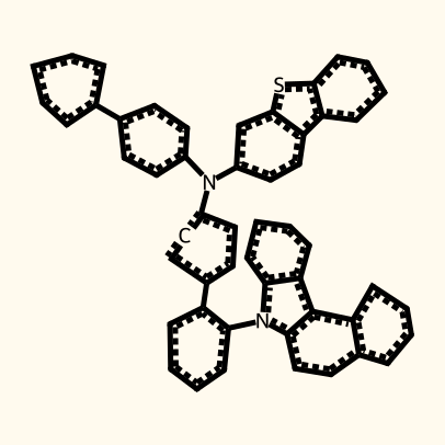 c1ccc(-c2ccc(N(c3ccc(-c4ccccc4-n4c5ccccc5c5c6ccccc6ccc54)cc3)c3ccc4c(c3)sc3ccccc34)cc2)cc1